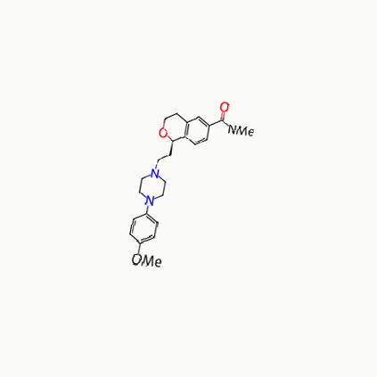 CNC(=O)c1ccc2c(c1)CCO[C@@H]2CCN1CCN(c2ccc(OC)cc2)CC1